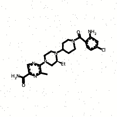 CC[C@H]1CN(c2ncc(C(N)=O)nc2C)CCN1C1CCN(C(=O)c2ccc(Cl)cc2N)CC1